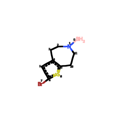 BN1CCc2cc(Br)sc2CC1